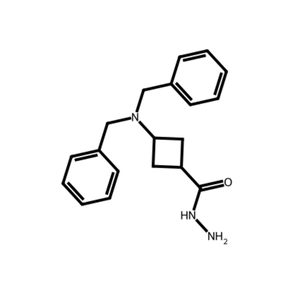 NNC(=O)C1CC(N(Cc2ccccc2)Cc2ccccc2)C1